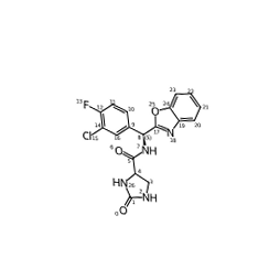 O=C1NCC(C(=O)N[C@@H](c2ccc(F)c(Cl)c2)c2nc3ccccc3o2)N1